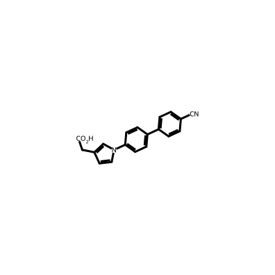 N#Cc1ccc(-c2ccc(-n3ccc(CC(=O)O)c3)cc2)cc1